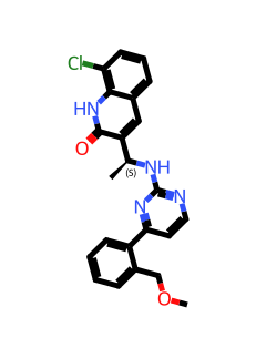 COCc1ccccc1-c1ccnc(N[C@@H](C)c2cc3cccc(Cl)c3[nH]c2=O)n1